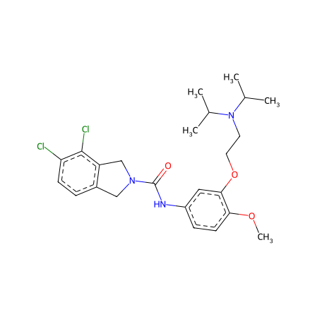 COc1ccc(NC(=O)N2Cc3ccc(Cl)c(Cl)c3C2)cc1OCCN(C(C)C)C(C)C